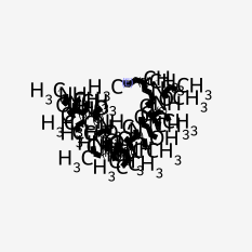 C/C=C/C[C@@H](C)CC(C(=O)N[C@@H](CC)C(=O)N(C)C(CO)C(=O)N(C)[C@@H](CC(C)C)C(=O)N[C@@H](C(=O)N(C)[C@H](CC(C)C)C(=O)N[C@H](C)C(=O)N[C@@H](C)C(=O)N(C)[C@@H](CC(C)C)C(=O)N(C)C(=O)NC)C(C)C)N(C)C(=O)CC(C)C